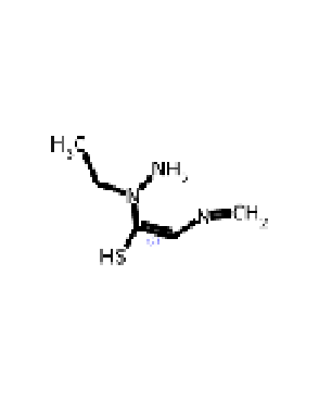 C=N/C=C(/S)N(N)CC